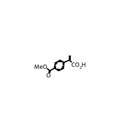 C=C(C(=O)O)c1ccc(C(=O)OC)cc1